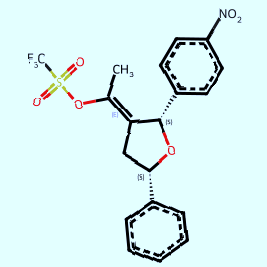 C/C(OS(=O)(=O)C(F)(F)F)=C1/C[C@@H](c2ccccc2)O[C@H]1c1ccc([N+](=O)[O-])cc1